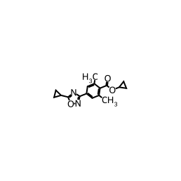 Cc1cc(-c2noc(C3CC3)n2)cc(C)c1C(=O)OC1CC1